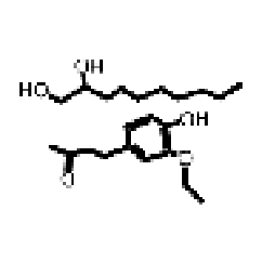 CCCCCCCCC(O)CO.CCOc1cc(CCC(C)=O)ccc1O